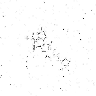 Cc1ccc(-c2c(Cl)cc3cnc(OC[C@@H]4CCCN4C)nc3c2F)c2c(C#N)c(N)sc12